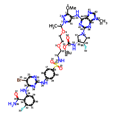 COc1nn(C(C)OCCOCCNS(=O)(=O)c2ccc(Nc3ncc(Br)c(Nc4cccc(F)c4C(N)=O)n3)cc2)cc1Nc1nc(N2C[C@@H](F)[C@H](NC(=O)OC(C)(C)C)C2)nc2c1ncn2C